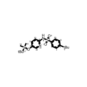 CC(C)(C)c1ccc(S(=O)(=O)Nc2ccc(O[Si](C)(C)C(C)(C)C)cn2)cc1